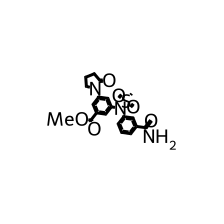 COC(=O)c1cc(N2CCCC2=O)cc(N(c2cccc(C(N)=O)c2)S(C)(=O)=O)c1